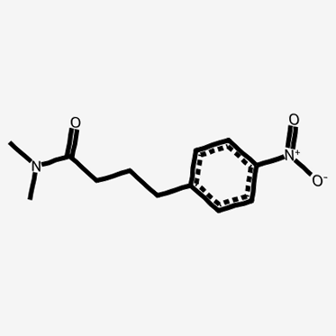 CN(C)C(=O)CCCc1ccc([N+](=O)[O-])cc1